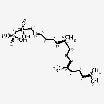 CC(C)=CCCC(C)=CCCC(C)=CCCCOCP(=O)(O)CP(=O)(O)O